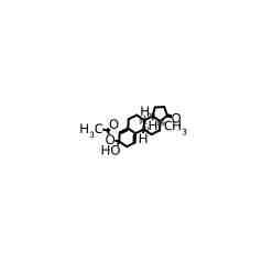 CC(=O)OC1(O)C=C2CC[C@@H]3[C@H](CC[C@]4(C)C(=O)CC[C@@H]34)C2=CC1